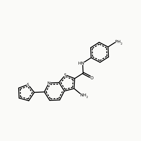 Nc1c(C(=O)Nc2ccc(P)cc2)sc2nc(-c3cccs3)ccc12